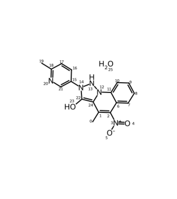 CC1=C([N+](=O)[O-])c2ccccc2N2NN(c3ccc(C)nc3)C(O)=C12.O